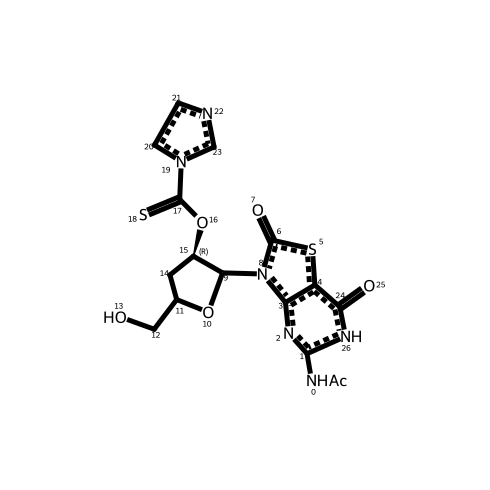 CC(=O)Nc1nc2c(sc(=O)n2C2OC(CO)C[C@H]2OC(=S)n2ccnc2)c(=O)[nH]1